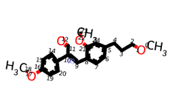 COCCCc1ccc(/C=C(\C=O)c2ccc(OC)cc2)c(OC)c1